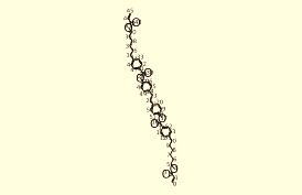 C=CC(=O)OCCCCCCc1ccc(C(=O)Oc2ccc(CCc3ccc(OC(=O)c4ccc(CCCCCCOC(=O)C=C)cc4)cc3)cc2)cc1